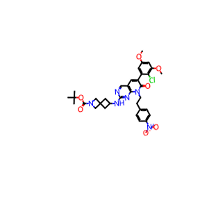 COc1cc(OC)c(Cl)c(-c2cc3cnc(NC4CC5(C4)CN(C(=O)OC(C)(C)C)C5)nc3n(CCc3ccc([N+](=O)[O-])cc3)c2=O)c1